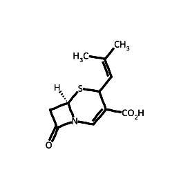 CC(C)=CC1S[C@@H]2CC(=O)N2C=C1C(=O)O